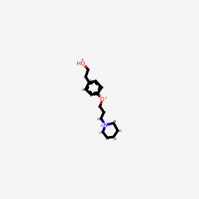 OCCc1ccc(OCCCN2CCCCC2)cc1